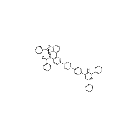 O=C(Nc1ccc(-c2ccc(-c3ccc(C4=CC(c5ccccc5)=NC(c5ccccc5)N4)cc3)cc2)cc1-c1cccc2c1NC(c1ccccc1)O2)c1ccccc1